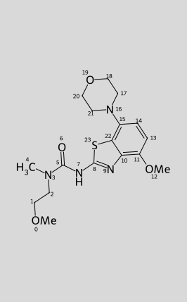 COCCN(C)C(=O)Nc1nc2c(OC)ccc(N3CCOCC3)c2s1